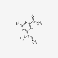 [CH2]C(C=C)c1cc(Br)cc(C(N)=O)c1